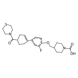 O=C(O)N1CCC(COc2ccc(C3=CCC(C(=O)N4CCSCC4)CC3)cc2F)CC1